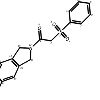 O=C(CS(=O)(=O)c1ccccc1)N1Cc2ccc(F)cc2C1